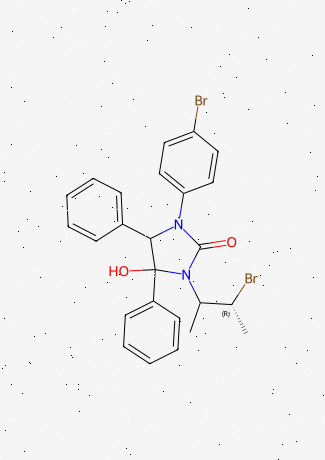 CC([C@@H](C)Br)N1C(=O)N(c2ccc(Br)cc2)C(c2ccccc2)C1(O)c1ccccc1